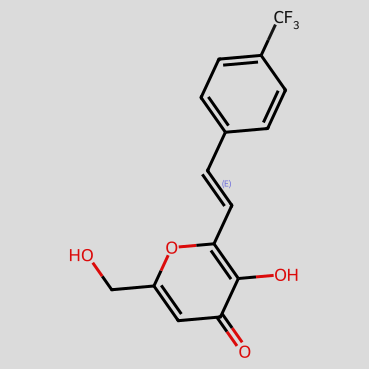 O=c1cc(CO)oc(/C=C/c2ccc(C(F)(F)F)cc2)c1O